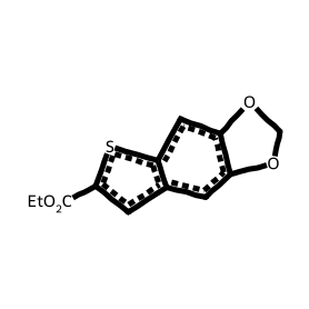 CCOC(=O)c1cc2cc3c(cc2s1)OCO3